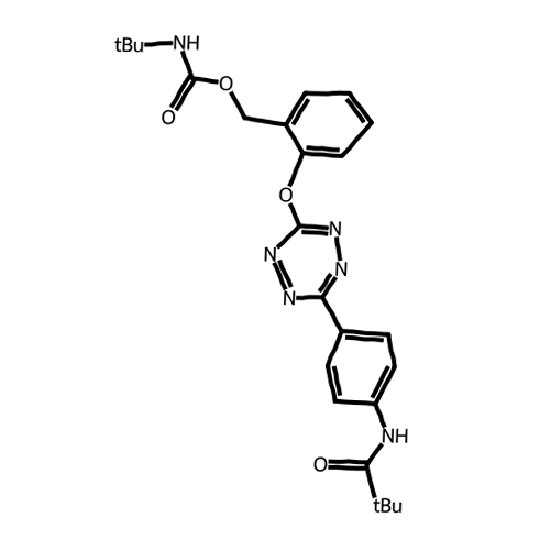 CC(C)(C)NC(=O)OCc1ccccc1Oc1nnc(-c2ccc(NC(=O)C(C)(C)C)cc2)nn1